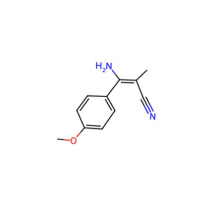 COc1ccc(C(N)=C(C)C#N)cc1